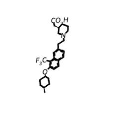 C[C@H]1CC[C@@H](Oc2ccc3ccc(CCN4CCC[C@H](CC(=O)O)C4)cc3c2C(F)(F)F)CC1